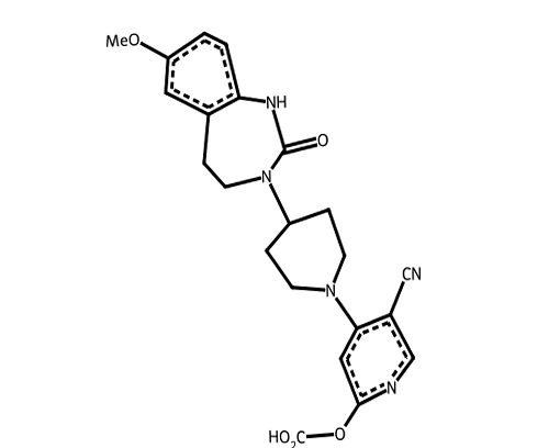 COc1ccc2c(c1)CCN(C1CCN(c3cc(OC(=O)O)ncc3C#N)CC1)C(=O)N2